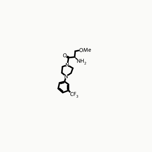 COC[C@@H](N)C(=O)N1CCN(c2cccc(C(F)(F)F)c2)CC1